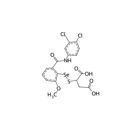 COc1cccc(C(=O)Nc2ccc(Cl)c(Cl)c2)c1[Se]SC(CC(=O)O)C(=O)O